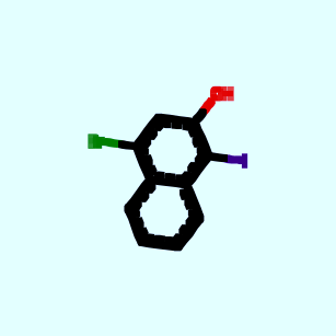 Oc1cc(Br)c2ccccc2c1I